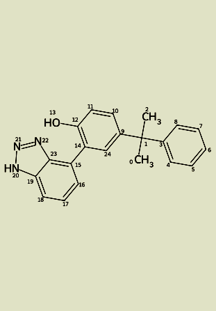 CC(C)(c1ccccc1)c1ccc(O)c(-c2cccc3[nH]nnc23)c1